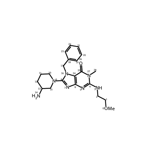 COCCNc1nc2nc(N3CCCC(N)C3)n(Cc3ccccc3)c2c(=O)n1C